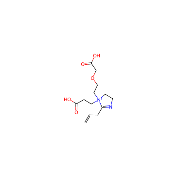 C=CCC1=NCC[N+]1(CCOCC(=O)O)CCC(=O)O